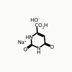 O=C(O)c1cc(=O)[nH]c(=O)[nH]1.[Na+].[OH-]